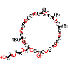 CC(C)(C)C1COCCOCCOCC(O)COC(COCCOCCO)COC(C(C)(C)C)COCCOCCOCC(C(C)(C)C)OCC(C(C)(C)C)OC1